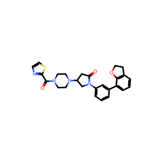 O=C(c1nccs1)N1CCN(C2CC(=O)N(c3cccc(-c4cccc5c4OCC5)c3)C2)CC1